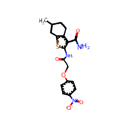 CC1CCc2c(sc(NC(=O)COc3ccc([N+](=O)[O-])cc3)c2C(N)=O)C1